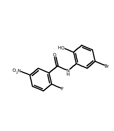 O=C(Nc1cc(Br)ccc1O)c1cc([N+](=O)[O-])ccc1F